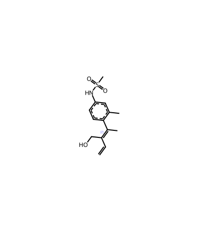 C=C/C(CO)=C(\C)c1ccc(NS(C)(=O)=O)cc1C